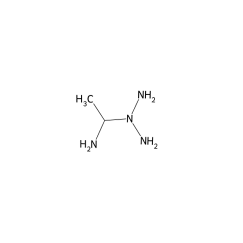 CC(N)N(N)N